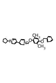 Cc1cc(OC[n+]2ccc(-c3cc[n+](C4CCCC4)cc3)cc2)c(C)cc1OCc1ccccc1